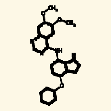 COc1cc2ncnc(Nc3ccc(Oc4ccccc4)c4cc[nH]c34)c2cc1OC